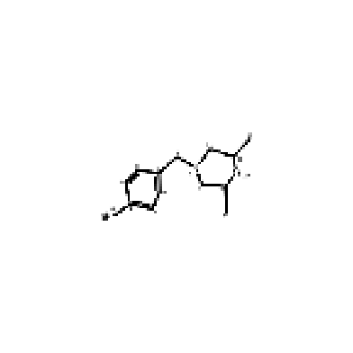 CCCc1ccc(CN2CC(C)OC(C)C2)cc1